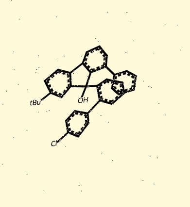 CC(C)(C)c1ccc2c(c1)C(O)(c1ccccc1-c1ccc(Cl)cc1)c1c(-c3ccccc3)cccc1-2